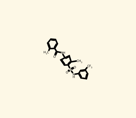 Cc1ccccc1C(=O)Nc1ccc(S(=O)(=O)Nc2cccc(C(F)(F)F)c2)c(C)c1